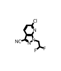 N#Cc1nn(CC(F)F)c2nc(Cl)ccc12